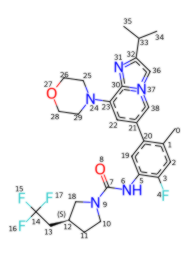 Cc1cc(F)c(NC(=O)N2CC[C@@H](CC(F)(F)F)C2)cc1-c1cc(N2CCOCC2)c2nc(C(C)C)cn2c1